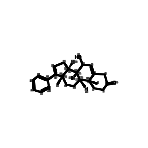 C[C@]12CCC(=O)CC1=CC(O)[C@@H]1[C@H]2CC[C@]2(C)C(c3ccccn3)=CC[C@@H]12